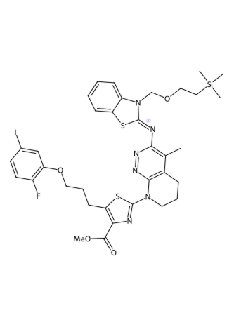 COC(=O)c1nc(N2CCCc3c2nnc(/N=c2\sc4ccccc4n2COCC[Si](C)(C)C)c3C)sc1CCCOc1cc(I)ccc1F